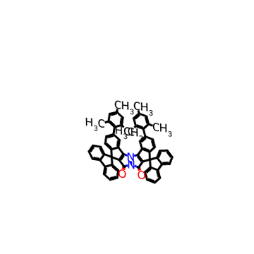 Cc1cc(C)c(-c2ccc3c(c2)-c2c(c(=O)n4c(=O)c5c(n24)-c2cc(-c4c(C)cc(C)cc4C)ccc2C52c4ccccc4-c4ccccc42)C32c3ccccc3-c3ccccc32)c(C)c1